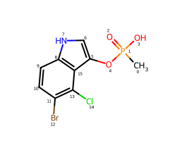 CP(=O)(O)Oc1c[nH]c2ccc(Br)c(Cl)c12